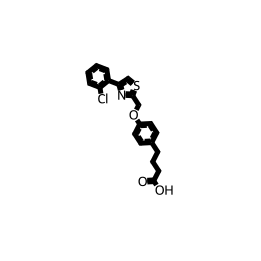 O=C(O)CCCc1ccc(OCc2nc(-c3ccccc3Cl)cs2)cc1